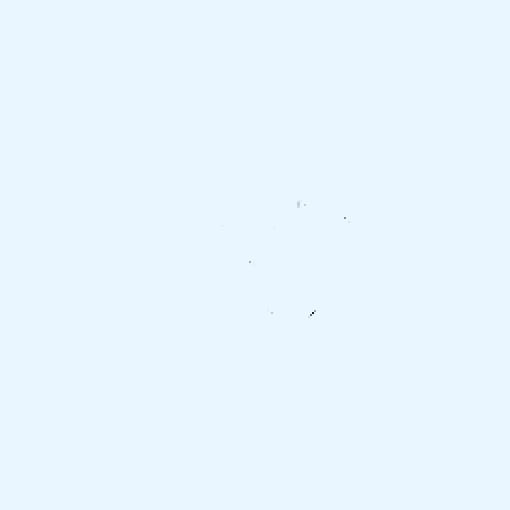 C[C@H]1COCCN1c1cc(C2(C(F)F)Nc3ccccc3N2)nc(N2CCC(N)CC2)n1